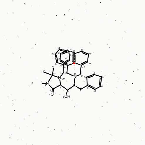 CN1C(=O)C(C(O)[C@H](Cc2ccccc2)N(Cc2ccccc2)Cc2ccccc2)N(Cc2ccccc2)C1(C)C